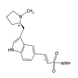 CNS(=O)(=O)/C=C/c1ccc2[nH]cc(C[C@H]3CCCN3C)c2c1